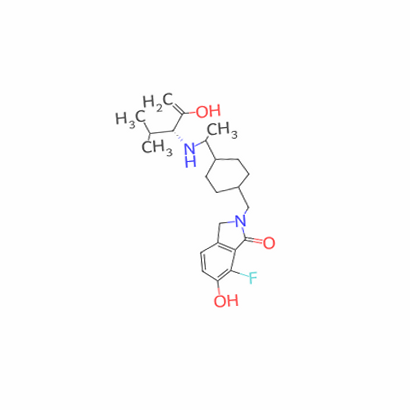 C=C(O)[C@H](NC(C)C1CCC(CN2Cc3ccc(O)c(F)c3C2=O)CC1)C(C)C